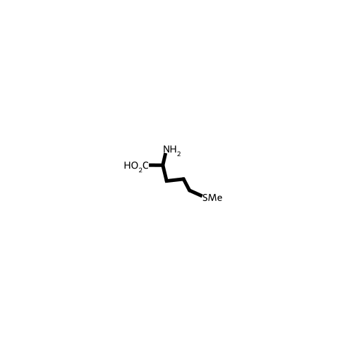 CSCCCC(N)C(=O)O